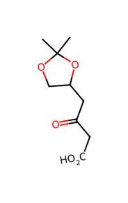 CC1(C)OCC(CC(=O)CC(=O)O)O1